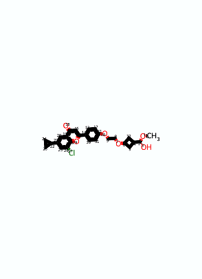 CO[C@H](O)C1CC(OCCOc2ccc(-c3cc(=O)c4cc(C5CC5)cc(Cl)c4o3)cc2)C1